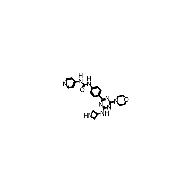 O=C(Nc1ccncc1)Nc1ccc(-c2nc(NC3CNC3)nc(N3CCOCC3)n2)cc1